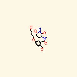 CN(C(=O)c1cc(OCCCC=O)ccc1C=O)C1CCC(=O)NC1=O